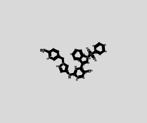 O=[N+]([O-])c1ccc(Cn2cc(Nc3ncc(Cl)c(-c4cn(S(=O)(=O)c5ccccc5)c5ccccc45)n3)cn2)cn1